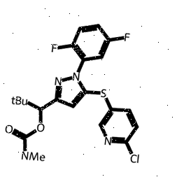 CNC(=O)OC(c1cc(Sc2ccc(Cl)nc2)n(-c2cc(F)ccc2F)n1)C(C)(C)C